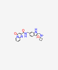 COC1(N(C)Cc2cc3ccc(CNC(=O)c4cc(=O)n5ccccc5n4)cc3[nH]2)CCC1